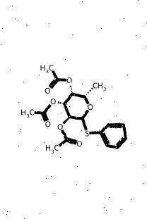 CC(=O)O[C@@H]1[C@H](OC(C)=O)[C@H](C)OC(Sc2ccccc2)[C@H]1OC(C)=O